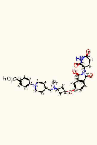 CC(C)N(CC1CCN(c2ccc(C(=O)O)cc2)CC1)C1CC(Oc2ccc3c(c2)C(=O)N(C2CCC(=O)NC2=O)C3=O)C1